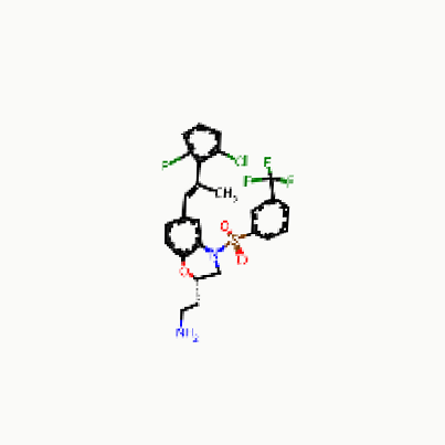 CC(=Cc1ccc2c(c1)N(S(=O)(=O)c1cccc(C(F)(F)F)c1)C[C@H](CCN)O2)c1c(F)cccc1Cl